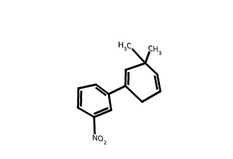 CC1(C)C=CCC(c2cccc([N+](=O)[O-])c2)=C1